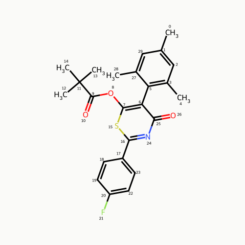 Cc1cc(C)c(-c2c(OC(=O)C(C)(C)C)sc(-c3ccc(F)cc3)nc2=O)c(C)c1